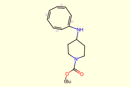 CC(C)(C)OC(=O)N1CCC(NC2=C/C=C\C=C/C=C\2)CC1